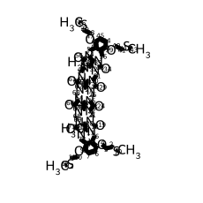 CSCCOc1ccc(OCCSC)c2c1CN1C(=O)N3CN4C(=O)N5CN6C(=O)N7CN8C(=O)N9Cc%10c(OCCSC)ccc(OCCSC)c%10CN%10C(=O)N(CN%11C(=O)N(CN%12C(=O)N(CN%13C(=O)N(C2)[C@]1(C)C3%13)C4[C@H]%125)[C@@H]6C7%11)C8[C@]%109C